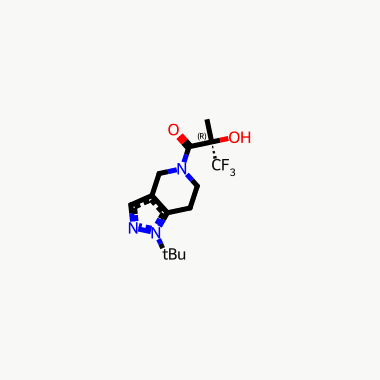 CC(C)(C)n1ncc2c1CCN(C(=O)[C@@](C)(O)C(F)(F)F)C2